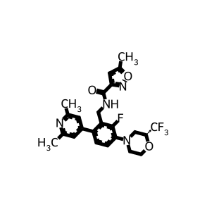 Cc1cc(-c2ccc(N3CCO[C@@H](C(F)(F)F)C3)c(F)c2CNC(=O)c2cc(C)on2)cc(C)n1